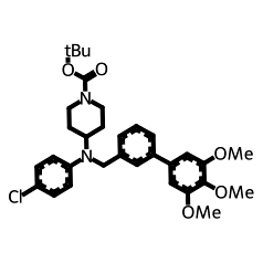 COc1cc(-c2cccc(CN(c3ccc(Cl)cc3)C3CCN(C(=O)OC(C)(C)C)CC3)c2)cc(OC)c1OC